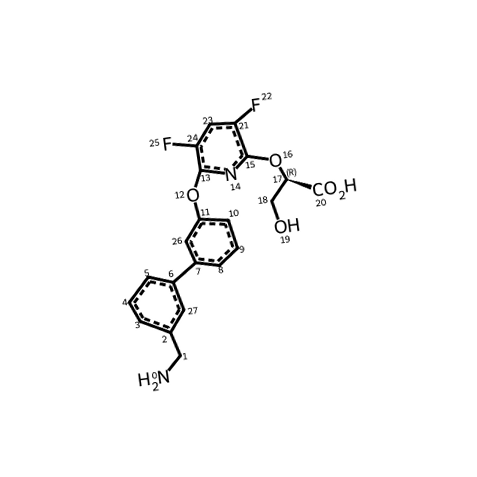 NCc1cccc(-c2cccc(Oc3nc(O[C@H](CO)C(=O)O)c(F)cc3F)c2)c1